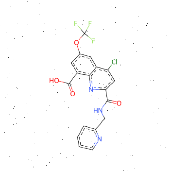 O=C(NCc1ccccn1)c1cc(Cl)c2cc(OC(F)(F)F)cc(C(=O)O)c2n1